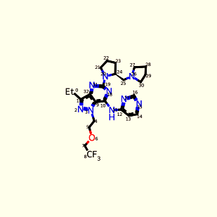 CCc1nn(CCOCC(F)(F)F)c2c(Nc3ccncn3)nc(N3CCC[C@H]3CN3CCCC3)nc12